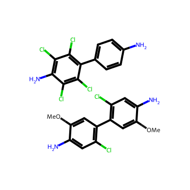 COc1cc(-c2cc(OC)c(N)cc2Cl)c(Cl)cc1N.Nc1ccc(-c2c(Cl)c(Cl)c(N)c(Cl)c2Cl)cc1